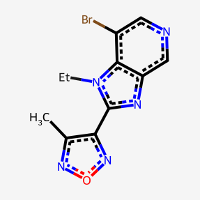 CCn1c(-c2nonc2C)nc2cncc(Br)c21